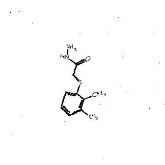 Cc1cccc(SCC(=O)NN)c1C